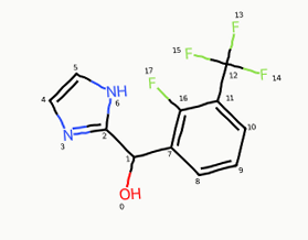 OC(c1ncc[nH]1)c1cccc(C(F)(F)F)c1F